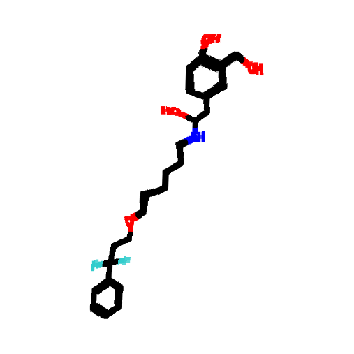 OCc1cc(CC(O)NCCCCCCOCCC(F)(F)c2ccccc2)ccc1O